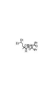 CCC(CC)CC[C@](C)(NC(=O)O[C@@H](OC(=O)C(C)C)C(C)C)C(=O)O